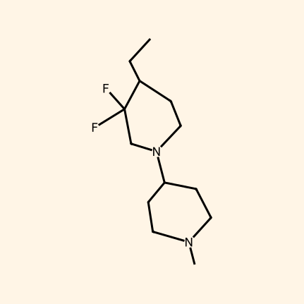 CCC1CCN(C2CCN(C)CC2)CC1(F)F